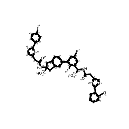 O=C(Cc1csc(-c2ccccc2Cl)n1)NC(C(=O)O)c1cc(F)cc(-c2ccc3c(c2)CC(NC(=O)Cc2csc(-c4ccc(F)cc4)n2)(C(=O)O)C3)c1F